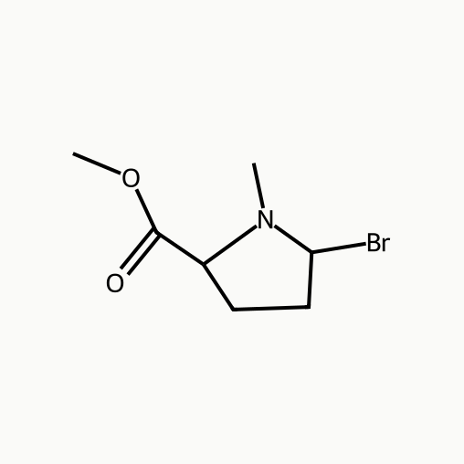 COC(=O)C1CCC(Br)N1C